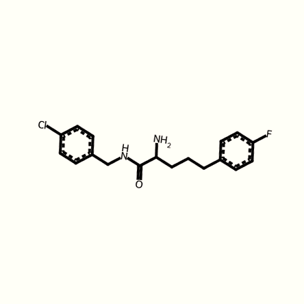 NC(CCCc1ccc(F)cc1)C(=O)NCc1ccc(Cl)cc1